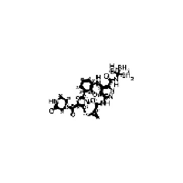 BC(B)(B)NC(=O)c1nnc(NC(=O)C2CC2)cc1Nc1cccc(-c2nc(C)c(C(=O)N3CCNC(=O)C3)s2)c1OC